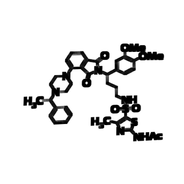 COc1ccc(C(CCCNS(=O)(=O)c2sc(NC(C)=O)nc2C)N2C(=O)c3cccc(N4CCN(C(C)c5ccccc5)CC4)c3C2=O)cc1OC